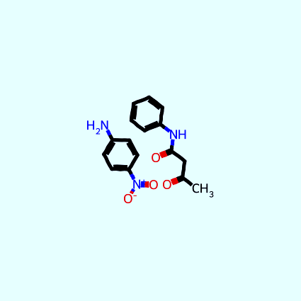 CC(=O)CC(=O)Nc1ccccc1.Nc1ccc([N+](=O)[O-])cc1